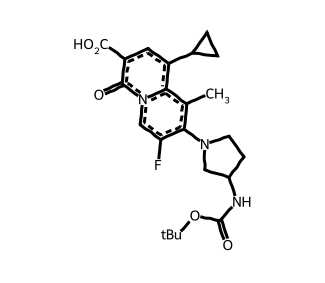 Cc1c(N2CCC(NC(=O)OC(C)(C)C)C2)c(F)cn2c(=O)c(C(=O)O)cc(C3CC3)c12